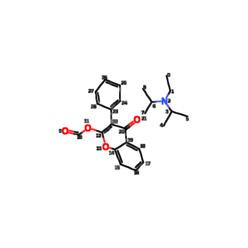 CCN(C(C)C)C(C)C.O=COc1oc2ccccc2c(=O)c1-c1ccccc1